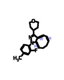 Cc1ccc(-n2nc(C3CCOCC3)c3/c2=C\CC/C=C\C=3)c(F)c1